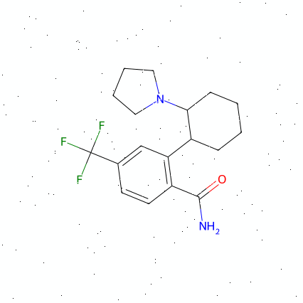 NC(=O)c1ccc(C(F)(F)F)cc1C1CCCCC1N1CCCC1